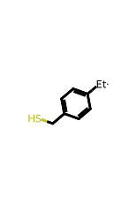 C[CH]c1ccc(CS)cc1